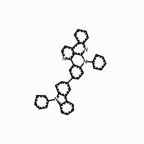 c1ccc(N2c3ccc(-c4ccc5c(c4)c4ccccc4n5-c4ccccc4)cc3-c3nccc4c3c2nc2ccccc24)cc1